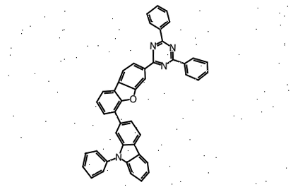 c1ccc(-c2nc(-c3ccccc3)nc(-c3ccc4c(c3)oc3c(-c5ccc6c7ccccc7n(-c7ccccc7)c6c5)cccc34)n2)cc1